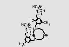 Cc1cc(CNCP(=O)(O)O)c(O)c(CN2CCCNCCCN(Cc3cc(C)cc(CNCP(=O)(O)O)c3O)CCC2)c1